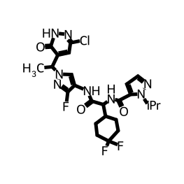 CC(c1cc(Cl)n[nH]c1=O)n1cc(NC(=O)C(NC(=O)c2ccnn2C(C)C)C2CCC(F)(F)CC2)c(F)n1